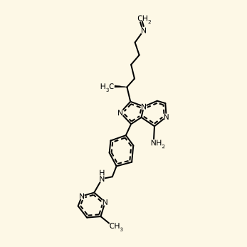 C=NCCCC[C@H](C)c1nc(-c2ccc(CNc3nccc(C)n3)cc2)c2c(N)nccn12